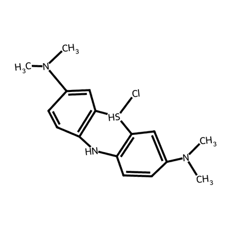 CN(C)c1ccc2c(c1)[SH](Cl)c1cc(N(C)C)ccc1N2